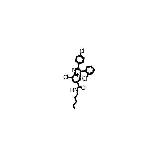 CCCCCNC(=O)c1cc(Cl)c2nc(-c3ccc(Cl)cc3)c(-c3ccccc3Cl)n2c1